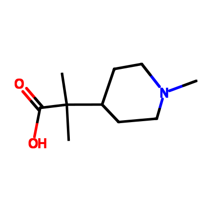 CN1CCC(C(C)(C)C(=O)O)CC1